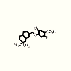 CC1(C)CCc2ccc(COc3cc(F)c(C(=O)O)cc3Cl)cc2C1